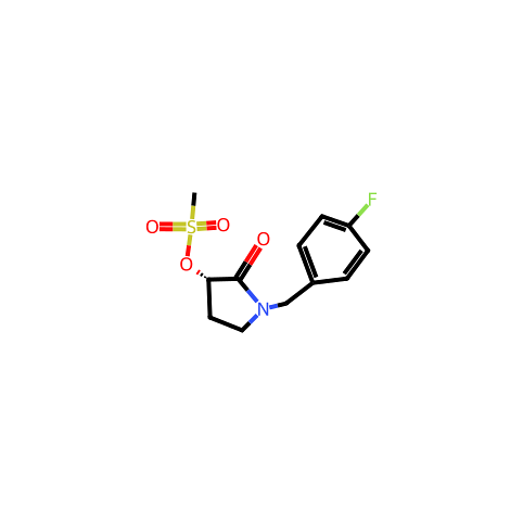 CS(=O)(=O)O[C@H]1CCN(Cc2ccc(F)cc2)C1=O